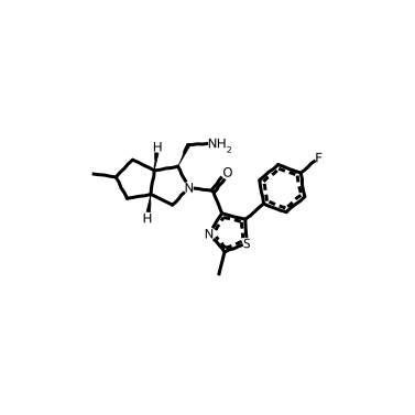 Cc1nc(C(=O)N2C[C@@H]3CC(C)C[C@@H]3[C@H]2CN)c(-c2ccc(F)cc2)s1